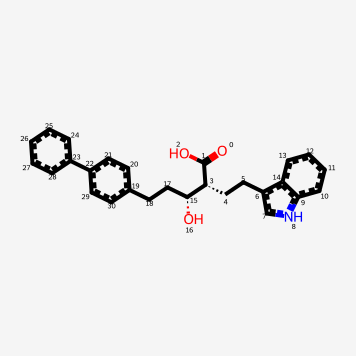 O=C(O)[C@H](CCc1c[nH]c2ccccc12)[C@H](O)CCc1ccc(-c2ccccc2)cc1